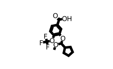 COC(Oc1cc(C(=O)O)ccc1OC(F)(F)F)C1CCCC1